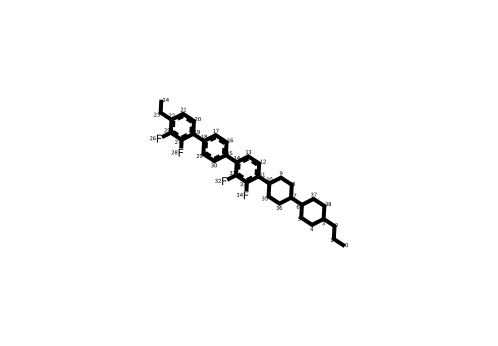 CCCC1CCC(C2CCC(c3ccc(-c4ccc(-c5ccc(CC)c(F)c5F)cc4)c(F)c3F)CC2)CC1